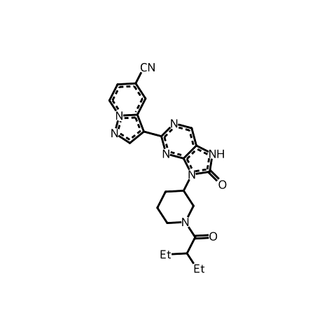 CCC(CC)C(=O)N1CCCC(n2c(=O)[nH]c3cnc(-c4cnn5ccc(C#N)cc45)nc32)C1